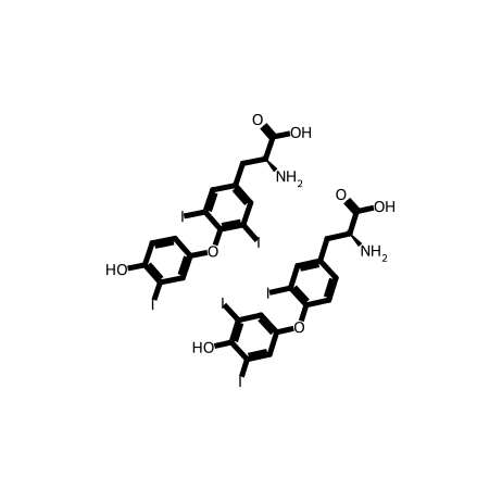 N[C@@H](Cc1cc(I)c(Oc2ccc(O)c(I)c2)c(I)c1)C(=O)O.N[C@@H](Cc1ccc(Oc2cc(I)c(O)c(I)c2)c(I)c1)C(=O)O